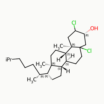 CC(C)CCC[C@@H](C)[C@H]1CC[C@H]2[C@@H]3CCC4(Cl)C[C@@H](O)C(Cl)C[C@]4(C)[C@H]3CC[C@]12C